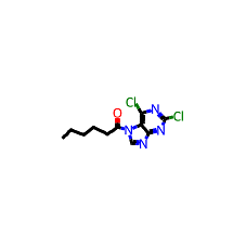 CCCCCC(=O)n1cnc2nc(Cl)nc(Cl)c21